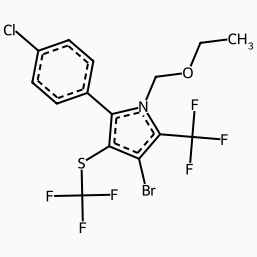 CCOCn1c(-c2ccc(Cl)cc2)c(SC(F)(F)F)c(Br)c1C(F)(F)F